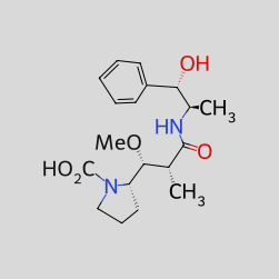 CO[C@H]([C@@H](C)C(=O)N[C@H](C)[C@@H](O)c1ccccc1)[C@@H]1CCCN1C(=O)O